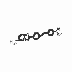 Cc1ccc2nc(-c3ccc(/C=C/c4ccc([N+](=O)[O-])cc4)cc3)cn2c1